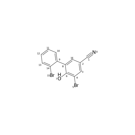 N#Cc1cc(Br)c(O)c(-c2ccccc2Br)c1